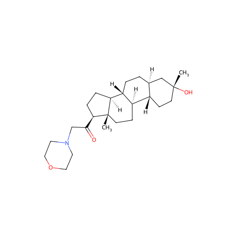 C[C@@]1(O)CC[C@H]2[C@@H](CC[C@@H]3[C@@H]2CC[C@]2(C)[C@@H](C(=O)CN4CCOCC4)CC[C@@H]32)C1